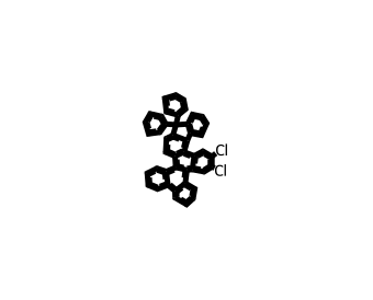 Clc1cc2c(cc1Cl)c1c3ccccc3c3ccccc3c1c1ccc3c(c21)-c1ccccc1C3(c1ccccc1)c1ccccc1